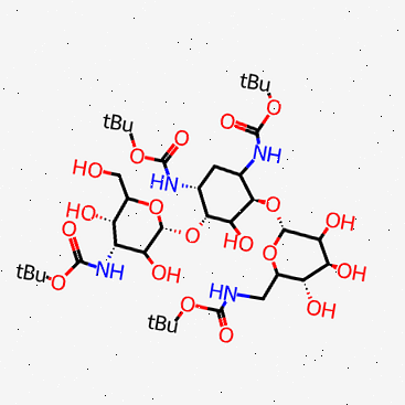 CC(C)(C)OC(=O)NCC1O[C@H](O[C@@H]2C(NC(=O)OC(C)(C)C)C[C@@H](NC(=O)OC(C)(C)C)[C@@H](O[C@H]3OC(CO)[C@@H](O)[C@@H](NC(=O)OC(C)(C)C)C3O)C2O)C(O)[C@@H](O)[C@@H]1O